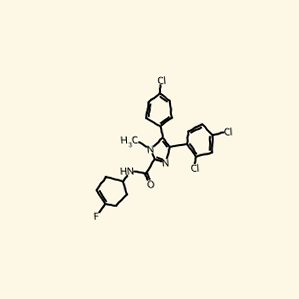 Cn1c(C(=O)NC2CC=C(F)CC2)nc(-c2ccc(Cl)cc2Cl)c1-c1ccc(Cl)cc1